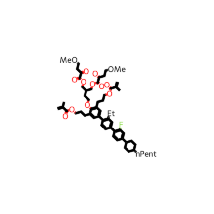 C=C(C)C(=O)OCCCc1cc(-c2ccc(-c3ccc(C4CCC(CCCCC)CC4)cc3F)cc2CC)cc(CCCOC(=O)C(=C)C)c1OCCC(COC(=O)C(=O)CCOC)COC(=O)C(=O)CCOC